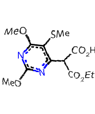 CCOC(=O)C(C(=O)O)c1nc(OC)nc(OC)c1SC